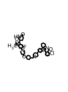 Cn1nc(C2CCC(=O)NC2=O)c2cc(F)c(N3CCC(OC4CCC(CN5CCC(c6ccc7c(c6)-n6c(nc(=O)c8c(Cl)cccc86)C76CCCCC6)CC5)CC4)CC3)cc21